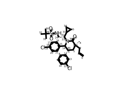 C=CC[C@@]1(C)C[C@H](c2cccc(Cl)c2)C(c2ccc(Cl)cc2)N([C@H](CNS(=O)(=O)C(C)(C)C)C2CC2)C1=O